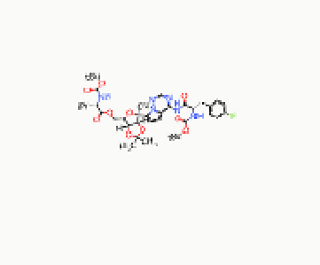 CC(C)[C@H](NC(=O)OC(C)(C)C)C(=O)OC[C@H]1O[C@@](C#N)(c2ccc3c(NC(=O)[C@H](Cc4ccc(F)cc4)NC(=O)OC(C)(C)C)ncnn23)[C@@H]2OC(C)(C)O[C@@H]21